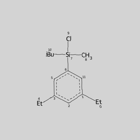 CCc1cc(CC)cc([Si](C)(Cl)C(C)CC)c1